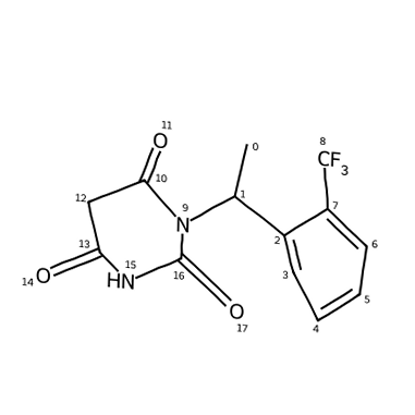 CC(c1ccccc1C(F)(F)F)N1C(=O)CC(=O)NC1=O